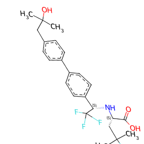 CC(C)(O)Cc1ccc(-c2ccc([C@H](N[C@@H](CC(C)(C)F)C(=O)O)C(F)(F)F)cc2)cc1